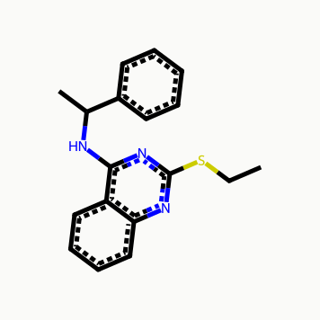 CCSc1nc(NC(C)c2ccccc2)c2ccccc2n1